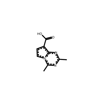 Cc1nc(C)n2ccc(C(=O)O)c2n1